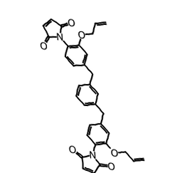 C=CCOc1cc(Cc2cccc(Cc3ccc(N4C(=O)C=CC4=O)c(OCC=C)c3)c2)ccc1N1C(=O)C=CC1=O